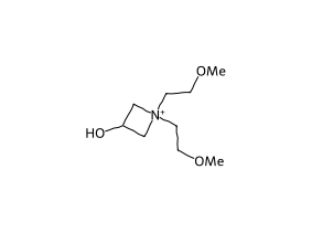 COCC[N+]1(CCOC)CC(O)C1